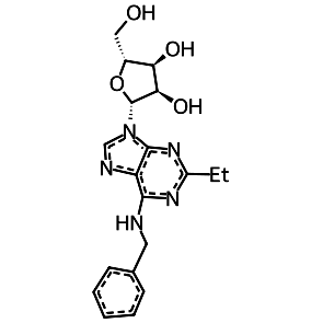 CCc1nc(NCc2ccccc2)c2ncn([C@@H]3O[C@H](CO)[C@@H](O)[C@H]3O)c2n1